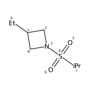 CCC1CN(S(=O)(=O)C(C)C)C1